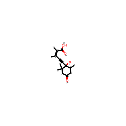 C/C(C#CC1(O)C(C)CC(=O)CC1(C)C)=C(\C)C(=O)O